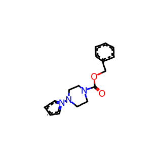 O=C(OCc1ccccc1)N1CCN(n2c[c]cc2)CC1